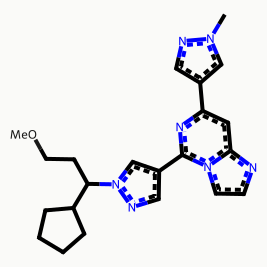 COCCC(C1CCCC1)n1cc(-c2nc(-c3cnn(C)c3)cc3nccn23)cn1